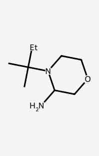 CCC(C)(C)N1CCOCC1N